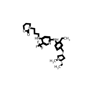 CCc1cc(C[C@@H]2C[C@H](CC)N(C)C2)ccc1NC1=NC=C(C(F)(F)F)C(NCCCN2CCCOC2=O)=C=C1